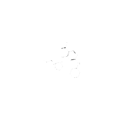 NC(=O)c1cnc(NC2CCOCC2)nc1N[C@@H]1CCC[C@H]1CCO